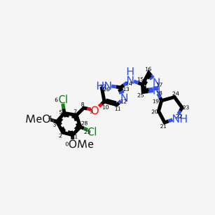 COc1cc(OC)c(Cl)c(COC2=CN=C(Nc3cnn(C4CCNCC4)c3)NC2)c1Cl